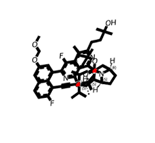 COCOc1cc(-c2nc3c4c(nc(CCC(C)(C)O)c(C)c4c2F)N2C[C@H]4CC[C@@H]([C@H]2[C@H](C)O3)N4C(=O)OC(C)(C)C)c2c(C#C[Si](C(C)C)(C(C)C)C(C)C)c(F)ccc2c1